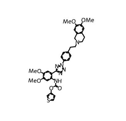 COc1cc2c(cc1OC)CN(CCc1ccc(-n3nnc(-c4cc(OC)c(OC)cc4NC(=O)Oc4ccsc4)n3)cc1)CC2